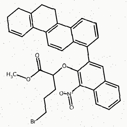 COC(=O)C(CCCBr)Oc1c(-c2cccc3c4c(ccc23)C2=C(CCC=C2)CC4)cc2ccccc2c1[N+](=O)[O-]